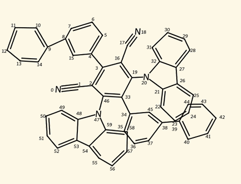 N#Cc1c(-c2cccc(-c3ccccc3)c2)c(C#N)c(-n2c3ccccc3c3ccccc32)c(-c2cccc(-c3ccccc3)c2)c1-n1c2ccccc2c2ccccc21